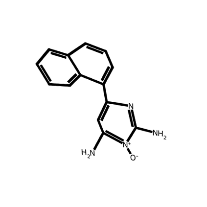 Nc1cc(-c2cccc3ccccc23)nc(N)[n+]1[O-]